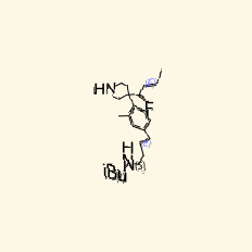 C=C(/C=C/C)C1(c2c(C)cc(/C=C/C[C@H](C)N[C@H](C)CC)cc2F)CCNCC1